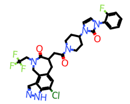 O=C(CC1Cc2cc(Cl)c3[nH]ncc3c2CN(CC(F)(F)F)C1=O)N1CCC(n2ccn(-c3ccccc3F)c2=O)CC1